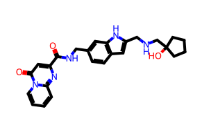 O=C(NCc1ccc2cc(CNCC3(O)CCCC3)[nH]c2c1)c1cc(=O)n2ccccc2n1